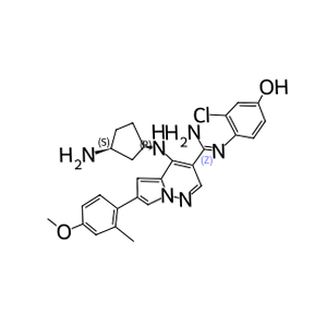 COc1ccc(-c2cc3c(N[C@@H]4CC[C@H](N)C4)c(/C(N)=N/c4ccc(O)cc4Cl)cnn3c2)c(C)c1